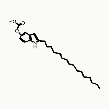 CCCCCCCCCCCCCCCCc1cc2cc(OC(=O)O)ccc2[nH]1